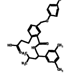 Cc1cc(C)cc(C(CC(C)C)NC(=O)c2cc(COc3ccc(Cl)cc3)ccc2CCC(=O)O)c1